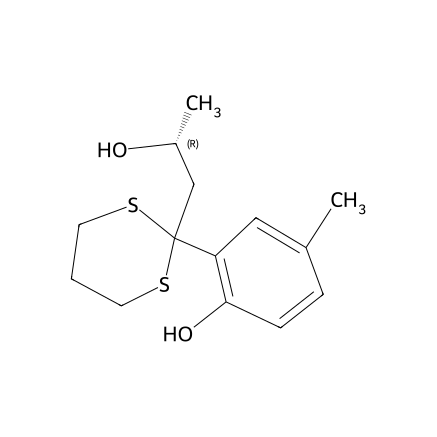 Cc1ccc(O)c(C2(C[C@@H](C)O)SCCCS2)c1